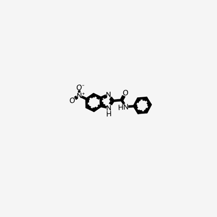 O=C(Nc1ccccc1)c1nc2cc([N+](=O)[O-])ccc2[nH]1